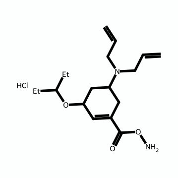 C=CCN(CC=C)C1CC(C(=O)ON)=CC(OC(CC)CC)C1.Cl